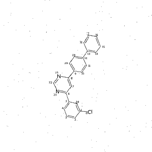 Clc1cccc(-c2cc(-c3ccc(-c4ccccc4)cc3)ncn2)c1